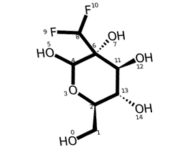 OC[C@H]1OC(O)[C@@](O)(C(F)F)[C@@H](O)[C@@H]1O